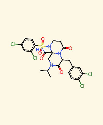 CC(C)N1CC2(C(N)=O)N(C(=O)[C]CN2S(=O)(=O)c2ccc(Cl)cc2Cl)C(Cc2ccc(Cl)c(Cl)c2)C1=O